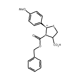 COc1ccc([C@H]2SCC(C(=O)O)N2C(=O)OCc2ccccc2)cc1